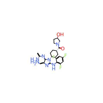 C=C(N)/N=C1\C(=C/N)N=C(Nc2c(F)cc(F)cc2F)N1[C@H]1CC[C@@H](C(=O)N2CC[C@@H](O)C2)CC1